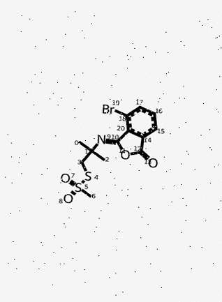 CC(C)(CSS(C)(=O)=O)/N=C1\OC(=O)c2cccc(Br)c21